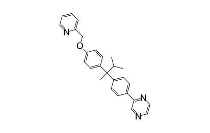 CC(C)C(C)(c1ccc(OCc2ccccn2)cc1)c1ccc(-c2cnccn2)cc1